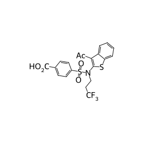 CC(=O)c1c(N(CCC(F)(F)F)S(=O)(=O)c2ccc(C(=O)O)cc2)sc2ccccc12